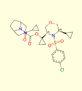 O=C(OC1([C@H]2COC[C@@H](C3CC3)N2S(=O)(=O)c2ccc(Cl)cc2)CC1)N1CC2CCC(C1)N2C(=O)C1CC1